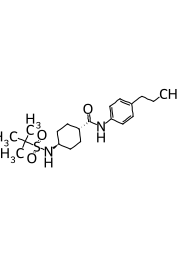 CCCc1ccc(NC(=O)[C@H]2CC[C@H](NS(=O)(=O)C(C)(C)C)CC2)cc1